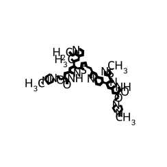 C=Cc1ncccc1/C=C(\C)c1cc2cc(OCN3CCN(C)CC3)c(=O)[nH]c2nc1-c1ccc(Cc2cnc3ccc(-c4cc5cc(OCN6CCN(C)CC6)c(=O)[nH]c5nc4-c4cnc(C)s4)cc3c2)s1